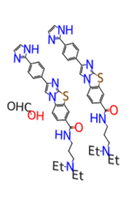 CCN(CC)CCCNC(=O)c1ccc2c(c1)sc1nc(-c3ccc(-c4ncc[nH]4)cc3)cn12.CCN(CC)CCCNC(=O)c1ccc2c(c1)sc1nc(-c3ccc(-c4ncc[nH]4)cc3)cn12.O=CO